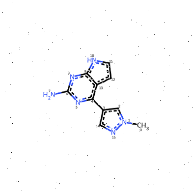 Cn1cc(-c2nc(N)nc3[nH]ccc23)cn1